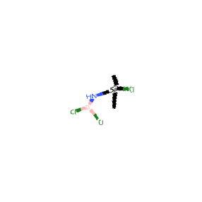 C[Si](C)(Cl)NB(Cl)Cl